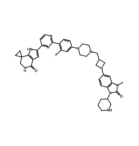 Cn1c(=O)n(C2CCCNC2)c2ccc(N3CC(CN4CCN(c5ccc(-c6nccc(-c7cc8c([nH]7)C7(CC7)CNC8=O)n6)c(F)c5)CC4)C3)cc21